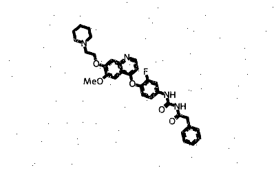 COc1cc2c(Oc3ccc(NC(=O)NC(=O)Cc4ccccc4)cc3F)ccnc2cc1OCCN1CCCCC1